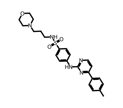 Cc1ccc(-c2ccnc(Nc3ccc(S(=O)(=O)NCCCN4CCOCC4)cc3)n2)cc1